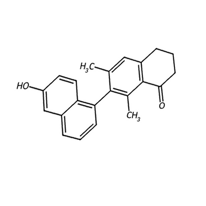 Cc1cc2c(c(C)c1-c1cccc3cc(O)ccc13)C(=O)CCC2